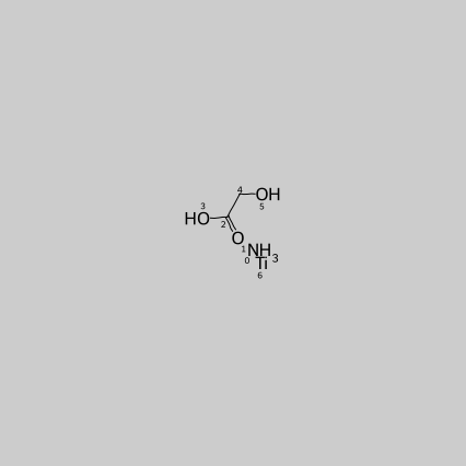 N.O=C(O)CO.[Ti]